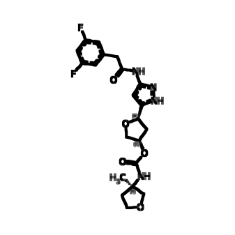 C[C@@]1(NC(=O)O[C@H]2CO[C@@H](c3cc(NC(=O)Cc4cc(F)cc(F)c4)n[nH]3)C2)CCOC1